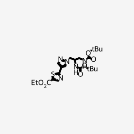 CCOC(=O)c1cnc(-c2cnn(CC(CNC(=O)OC(C)(C)C)NC(=O)OC(C)(C)C)c2)s1